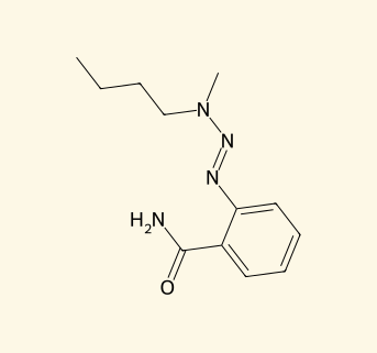 CCCCN(C)/N=N/c1ccccc1C(N)=O